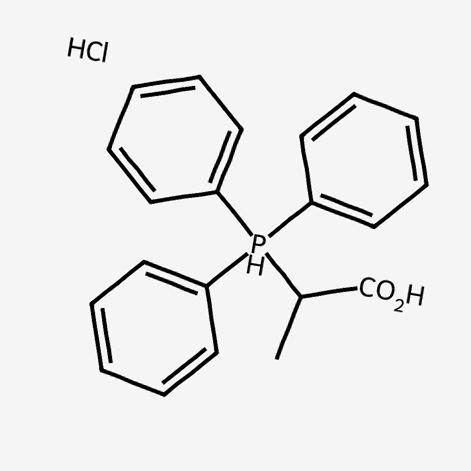 CC(C(=O)O)[PH](c1ccccc1)(c1ccccc1)c1ccccc1.Cl